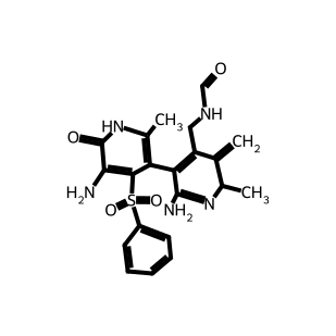 C=C1C(CNC=O)=C(c2c(C)[nH]c(=O)c(N)c2S(=O)(=O)c2ccccc2)C(N)=NC1C